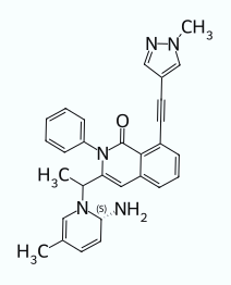 CC1=CN(C(C)c2cc3cccc(C#Cc4cnn(C)c4)c3c(=O)n2-c2ccccc2)[C@H](N)C=C1